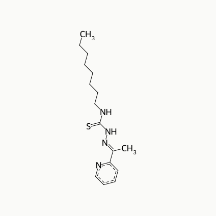 CCCCCCCCNC(=S)NN=C(C)c1ccccn1